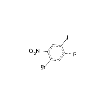 O=[N+]([O-])c1cc(I)c(F)cc1Br